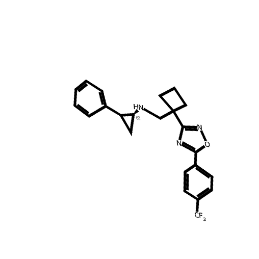 FC(F)(F)c1ccc(-c2nc(C3(CN[C@H]4CC4c4ccccc4)CCC3)no2)cc1